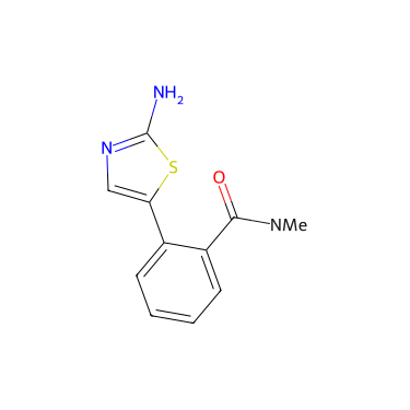 CNC(=O)c1ccccc1-c1cnc(N)s1